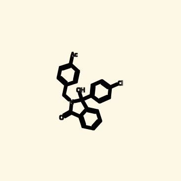 CC(=O)c1ccc(CN2C(=O)c3ccccc3C2(O)c2ccc(Cl)cc2)cc1